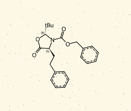 CC(C)(C)[C@H]1OC(=O)[C@H](CCc2ccccc2)N1C(=O)OCc1ccccc1